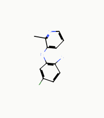 Cc1ncccc1Nc1cc(Cl)ccc1N